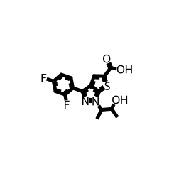 CC(O)C(C)n1nc(-c2ccc(F)cc2F)c2cc(C(=O)O)sc21